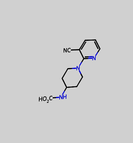 N#Cc1cccnc1N1CCC(NC(=O)O)CC1